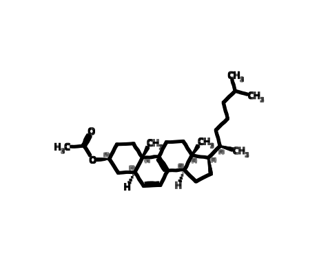 CC(=O)O[C@H]1CC[C@]2(C)C3=C(C=C[C@H]2C1)[C@@H]1CC[C@H]([C@H](C)CCCC(C)C)[C@@]1(C)CC3